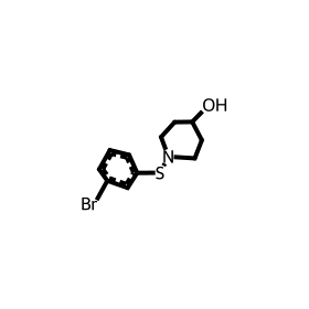 OC1CCN(Sc2cccc(Br)c2)CC1